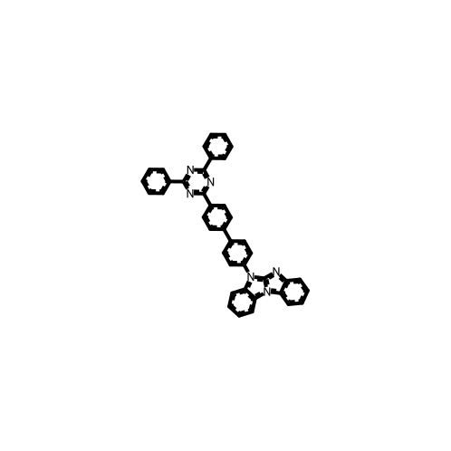 c1ccc(-c2nc(-c3ccccc3)nc(-c3ccc(-c4ccc(-n5c6ccccc6n6c7ccccc7nc56)cc4)cc3)n2)cc1